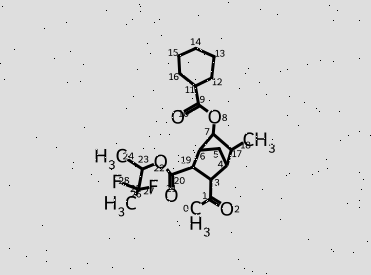 CC(=O)C1C2CC(C(OC(=O)C3CCCCC3)C2C)C1C(=O)OC(C)C(C)(F)F